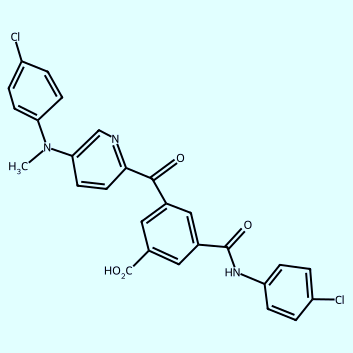 CN(c1ccc(Cl)cc1)c1ccc(C(=O)c2cc(C(=O)O)cc(C(=O)Nc3ccc(Cl)cc3)c2)nc1